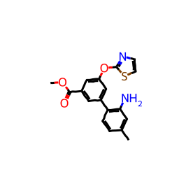 COC(=O)c1cc(Oc2nccs2)cc(-c2ccc(C)cc2N)c1